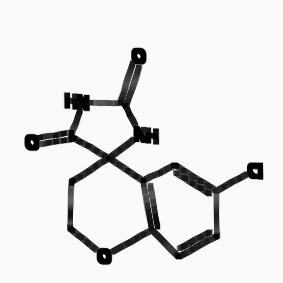 O=C1NC(=O)C2(CCOc3ccc(Cl)cc32)N1